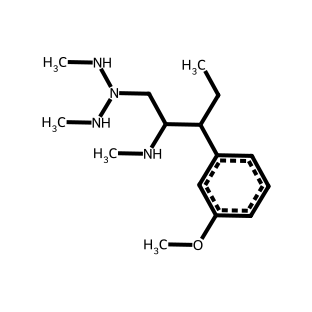 CCC(c1cccc(OC)c1)C(CN(NC)NC)NC